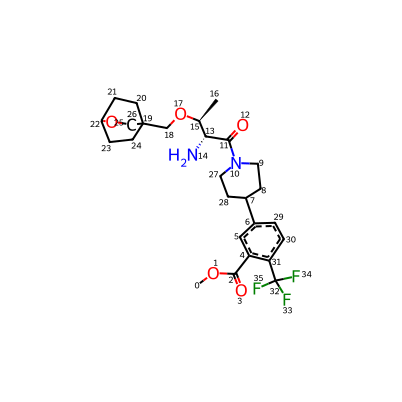 COC(=O)c1cc(C2CCN(C(=O)[C@H](N)[C@H](C)OCC34CCC(CC3)OC4)CC2)ccc1C(F)(F)F